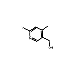 OCc1cnc(Br)cc1I